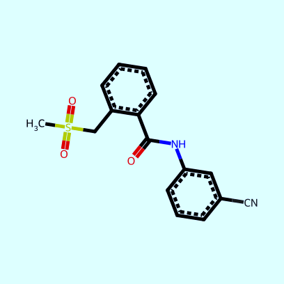 CS(=O)(=O)Cc1ccccc1C(=O)Nc1cccc(C#N)c1